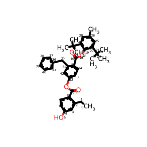 CCc1cc(O)ccc1C(=O)Oc1ccc(C(=O)Oc2c(C(C)(C)C)cc(C)cc2C(C)(C)C)c(Cc2ccccc2)c1